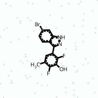 Cc1cc(-c2n[nH]c3cc(Br)ccc23)c(F)c(O)c1F